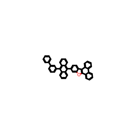 c1ccc(-c2cccc(-c3c4ccccc4c(-c4ccc5c(c4)oc4c6ccccc6c6ccccc6c54)c4ccccc34)c2)cc1